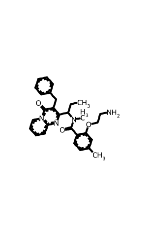 CCC(c1nc2ccccn2c(=O)c1Cc1ccccc1)N(C)C(=O)c1ccc(C)cc1OCCN